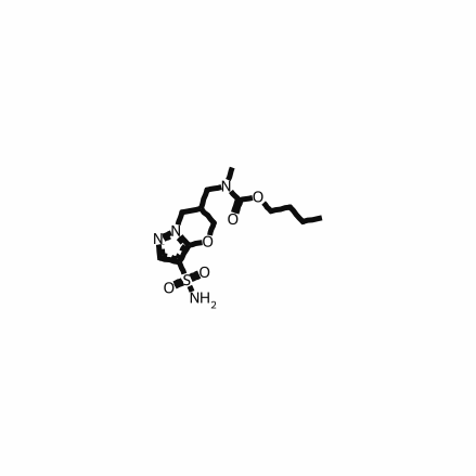 CCCCOC(=O)N(C)CC1COc2c(S(N)(=O)=O)cnn2C1